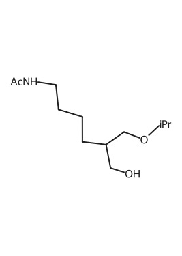 CC(=O)NCCCCC(CO)COC(C)C